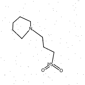 O=[SH](=O)CCCN1C[CH]CCC1